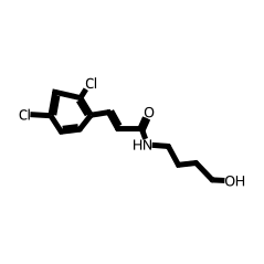 O=C(/C=C/c1ccc(Cl)cc1Cl)NCCCCO